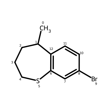 CC1CCCSc2cc(Br)ccc21